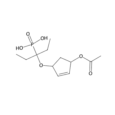 CCC(CC)(OC1C=CC(OC(C)=O)C1)P(=O)(O)O